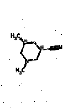 C[C@H]1C[C@H](C#N)CN(C)C1